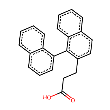 O=C(O)CCc1ccc2ccccc2c1-c1cccc2ccccc12